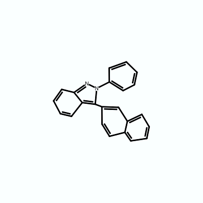 c1ccc(-n2nc3ccccc3c2-c2ccc3ccccc3c2)cc1